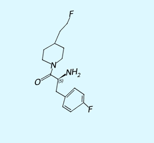 N[C@@H](Cc1ccc(F)cc1)C(=O)N1CCC(CCF)CC1